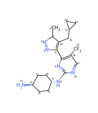 CC1N=NC(c2nc(N[C@H]3CC[C@H](N)CC3)ncc2C(F)(F)F)=C1CC1CC1